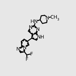 CN1CCC(Nc2ncc3c(-c4ccc5ncc(C(F)F)n5c4)c[nH]c3n2)CC1